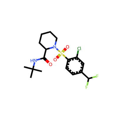 CC(C)(C)NC(=O)C1CCCCN1S(=O)(=O)c1ccc(C(F)F)cc1Cl